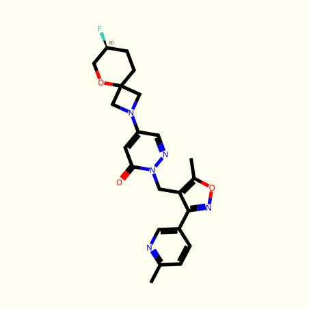 Cc1ccc(-c2noc(C)c2Cn2ncc(N3CC4(CC[C@H](F)CO4)C3)cc2=O)cn1